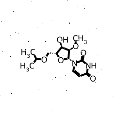 CO[C@@H]1[C@H](O)[C@@H](COC(C)C)O[C@H]1n1ccc(=O)[nH]c1=O